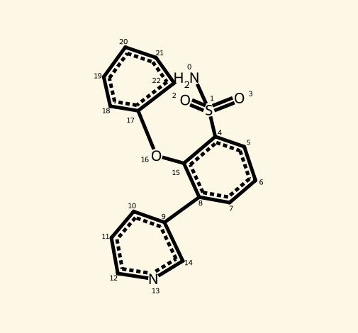 NS(=O)(=O)c1cccc(-c2cccnc2)c1Oc1ccccc1